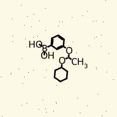 CC(Oc1cccc(B(O)O)c1)OC1CCCCC1